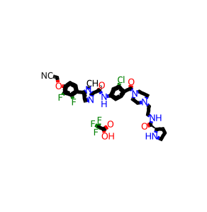 Cn1c(-c2ccc(OCC#N)c(F)c2F)cnc1C(=O)Nc1ccc(C(=O)N2CCN(CCNC(=O)[C@H]3CCCN3)CC2)c(Cl)c1.O=C(O)C(F)(F)F